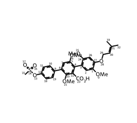 COc1cc(-c2c(OC)cc(-c3ccc(OS(C)(=O)=O)cc3)c(OC)c2C(=O)O)c(OC)cc1OCC=C(C)C